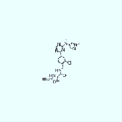 Cn1cc(Nc2ncnc(-c3ccc(CNC(=O)C4=NOC(C(C)(C)C)N4)c(Cl)c3)n2)cn1